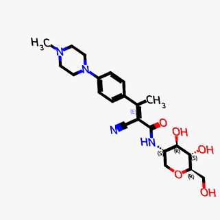 C/C(=C(/C#N)C(=O)N[C@H]1CO[C@H](CO)[C@@H](O)[C@@H]1O)c1ccc(N2CCN(C)CC2)cc1